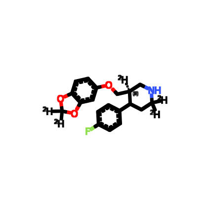 [2H]C1([2H])CC(c2ccc(F)cc2)[C@@]([2H])(COc2ccc3c(c2)OC([2H])([2H])O3)CN1